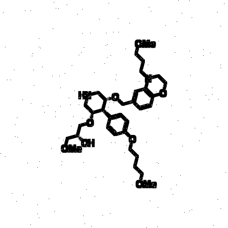 COCCCCOc1ccc([C@@H]2[C@@H](OCc3ccc4c(c3)N(CCCOC)CCO4)CNC[C@H]2OC[C@H](O)COC)cc1